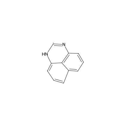 [C]1=Nc2cccc3cccc(c23)N1